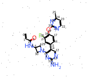 C=CC(=O)NC1CN(c2nc(N)ncc2-c2ccc(Oc3nccc(C)n3)c(F)c2)C1